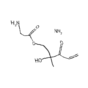 C=CC(=O)C(C)(O)COC(=O)CN.N